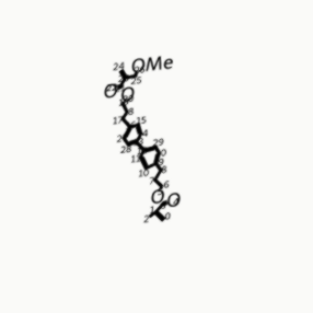 C=C(C)C(=O)OCCCc1ccc(-c2ccc(CCCOC(=O)C(=C)COC)cc2)cc1